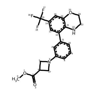 COC(=O)C1CN(c2cccc(-c3cc(C(F)(F)F)cc4c3NCCO4)c2)C1